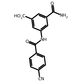 N#Cc1ccc(C(=O)Nc2cc(C(N)=O)cc(C(=O)O)c2)cc1